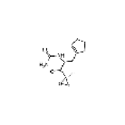 C[C@]1(C(=O)[C@H](CC2=CCCC2)NC(N)=O)CO1